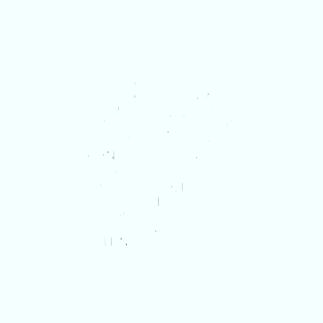 CCS(=O)(=O)c1ccc([C@H](O)Cc2c(N3CC[C@H](Oc4ccc(C(F)(F)F)cc4)C3)ccc(C(N)=O)c2F)cc1